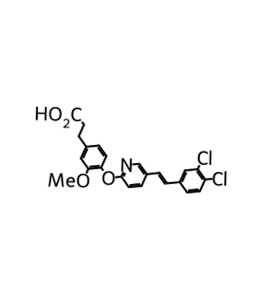 COc1cc(CCC(=O)O)ccc1Oc1ccc(C=Cc2ccc(Cl)c(Cl)c2)cn1